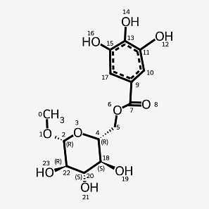 CO[C@@H]1O[C@H](COC(=O)c2cc(O)c(O)c(O)c2)[C@@H](O)[C@H](O)[C@H]1O